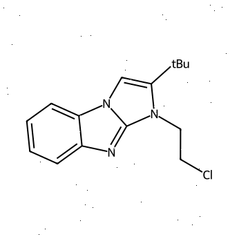 CC(C)(C)c1cn2c3ccccc3nc2n1CCCl